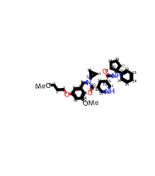 COCCCOc1cc(CN(C(=O)[C@H]2CNC[C@@H](C(=O)NC3(c4ccccc4)CCCC3)C2)C2CC2)cc(OC)c1